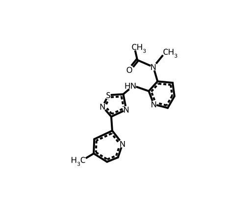 CC(=O)N(C)c1cccnc1Nc1nc(-c2cc(C)ccn2)ns1